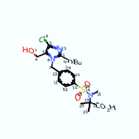 CCCCc1nc(Cl)c(CO)n1Cc1ccc(S(=O)(=O)N(C)C(C)(C)C(=O)O)cc1